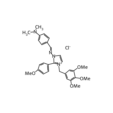 COc1ccc(-c2n(/N=C/c3ccc(N(C)C)cc3)cc[n+]2Cc2cc(OC)c(OC)c(OC)c2)cc1.[Cl-]